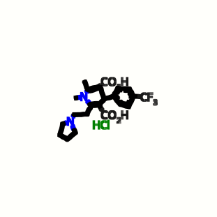 CC1=C(C(=O)O)C(c2ccc(C(F)(F)F)cc2)C(C(=O)O)=C(CCN2CCCC2)N1C.Cl